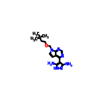 C[Si](C)(C)CCOCn1ccc2c(-c3c(N)n[nH]c3N)ncnc21